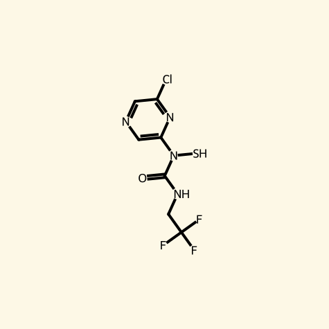 O=C(NCC(F)(F)F)N(S)c1cncc(Cl)n1